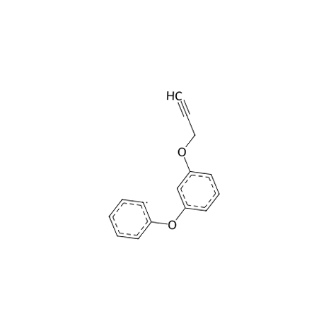 C#CCOc1cccc(Oc2[c]cccc2)c1